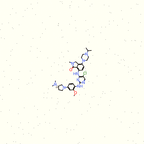 COc1cc(N2CC[C@H](N(C)C)C2)ccc1Nc1ncc(Cl)c(Nc2ccc(N3CCN(C(C)C)CC3)c3c2C(=O)N(C)C3)n1